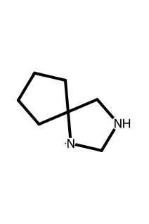 C1CCC2(C1)CNC[N]2